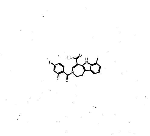 Cc1cccc2c3c([nH]c12)C(C(=O)O)=CN(C(=O)c1ccc(F)cc1F)CC3